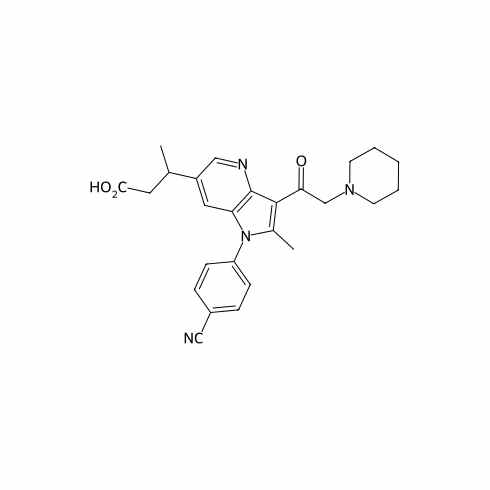 Cc1c(C(=O)CN2CCCCC2)c2ncc(C(C)CC(=O)O)cc2n1-c1ccc(C#N)cc1